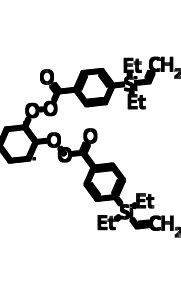 C=C[Si](CC)(CC)c1ccc(C(=O)OO[C]2CCC[CH]C2OOC(=O)c2ccc([Si](C=C)(CC)CC)cc2)cc1